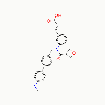 CN(C)c1ccc(-c2ccc(CN(C(=O)C3COC3)c3cccc(C=CC(=O)O)c3)cc2)cc1